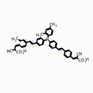 C=C/C=C(\C=C/C=C\C(C#N)C(=O)O)/C=C/c1ccc(N(c2ccc(/C=C/c3ccc(/C=C(\C#N)C(=O)O)cc3)cc2)c2ccc(C)cc2C)cc1